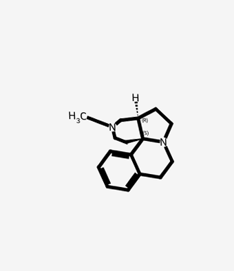 CN1CC[C@]23c4ccccc4CCN2CC[C@@H]3C1